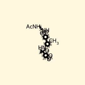 CC(=O)NCCNS(=O)(=O)c1ccc(-c2cc(NC(=O)C3(c4ccc5c(c4)OCO5)CC3)ccc2C)cc1